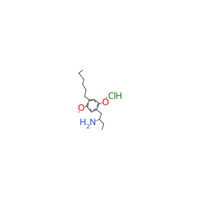 CCCCCCc1cc(OC)c(CC(N)CC)cc1OC.Cl